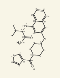 CC(C)[C@H](Nc1nc(CN2CCN(C(=O)c3ccsc3)CC2)nc2ccccc12)C(N)=O